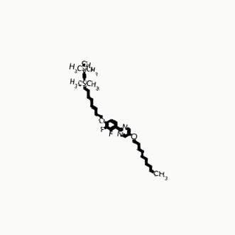 CCCCCCCCCCOc1cnc(-c2ccc(OCCCCCCCC[Si](C)(C)C#C[Si](C)(C)C)c(F)c2F)nc1